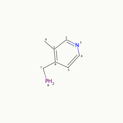 Cc1cnccc1CP